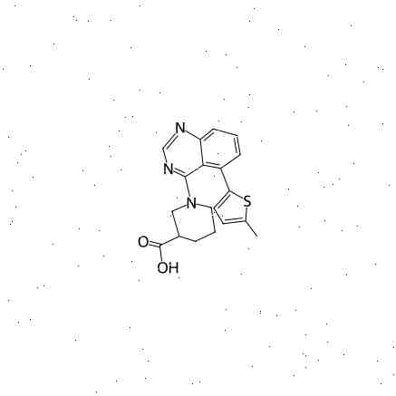 Cc1ccc(-c2cccc3ncnc(N4CCCC(C(=O)O)C4)c23)s1